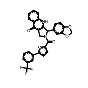 O=C(c1ccc(-c2cccc(C(F)(F)F)c2)o1)N1Cc2c([nH]c3ccccc3c2=O)C1c1ccc2c(c1)OCO2